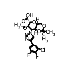 CO[C@@H]1[C@@H](n2cc(-c3cc(F)c(F)c(Cl)c3)nn2)[C@H]2OC(C)(C)OC[C@H]2O[C@H]1C(=O)O